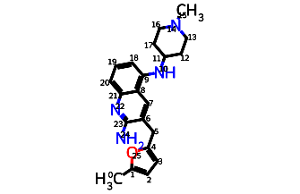 Cc1ccc(Cc2cc3c(NC4CCN(C)CC4)cccc3nc2N)o1